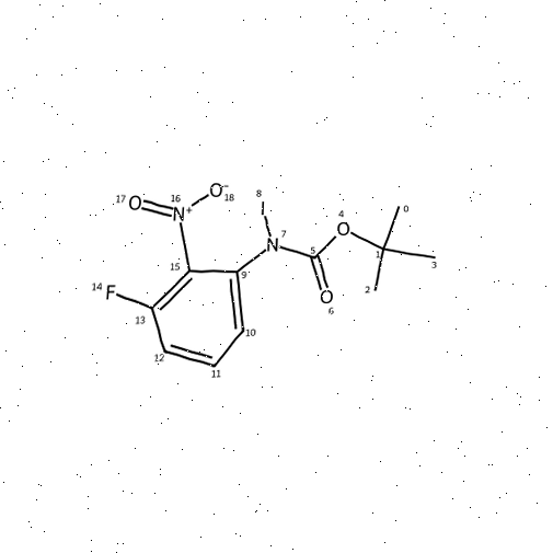 CC(C)(C)OC(=O)N(I)c1cccc(F)c1[N+](=O)[O-]